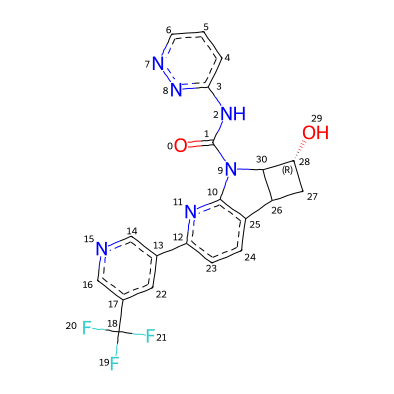 O=C(Nc1cccnn1)N1c2nc(-c3cncc(C(F)(F)F)c3)ccc2C2C[C@@H](O)C21